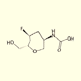 O=C(O)N[C@H]1CO[C@H](CO)[C@@H](F)C1